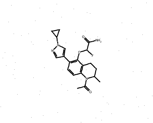 CC(=O)N1c2ccc(-c3cnn(C4CC4)c3)c(OC(F)C(N)=O)c2CCC1C